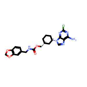 Nc1nc(Cl)nc2c1ncn2[C@H]1CCC[C@@H](COC(=O)NCc2ccc3c(c2)OCO3)C1